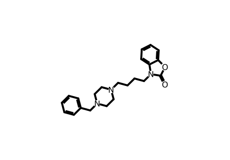 O=c1oc2ccccc2n1CCCCN1CCN(Cc2ccccc2)CC1